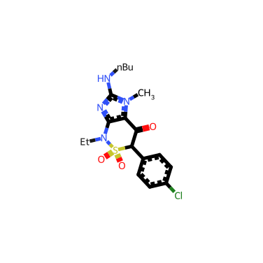 CCCCNc1nc2c(n1C)C(=O)C(c1ccc(Cl)cc1)S(=O)(=O)N2CC